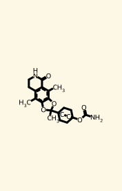 Cc1c2c(c(C)c3c1OC(C)(C14CCC(OC(N)=O)(CC1)CC4)O3)C(=O)NCC2